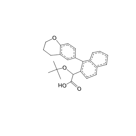 CC(C)(C)OC(C(=O)O)c1ccc2ccccc2c1-c1ccc2c(c1)CCCO2